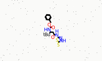 CC(C)(C)C(CC(=O)Nc1n[nH]c(=S)s1)NC(=O)OCc1ccccc1